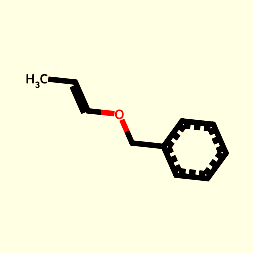 CC=COCc1ccccc1